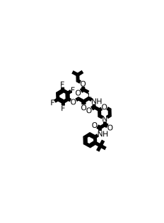 CC(C)COC(=O)C[C@H](NC(=O)C1CN(C(=O)C(=O)Nc2ccccc2C(C)(C)C)CCO1)C(=O)COc1c(F)c(F)cc(F)c1F